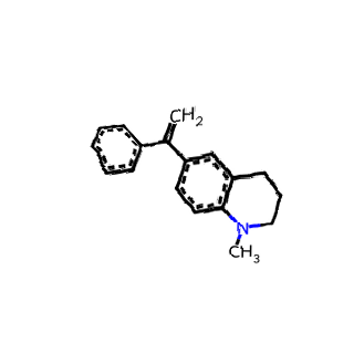 C=C(c1ccccc1)c1ccc2c(c1)CCCN2C